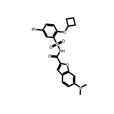 CC(C)c1ccc(OC2CCC2)c(S(=O)(=O)NC(=O)c2cc3ccc(N(C)C)cc3o2)c1